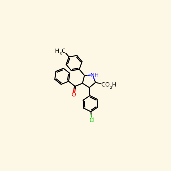 Cc1ccc(C2NC(C(=O)O)C(c3ccc(Cl)cc3)C2C(=O)c2ccccc2)cc1